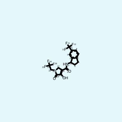 O=C(NC1CCc2ccc(C(F)(F)F)cc21)C1=C(O)C(=O)N(CC(F)(F)F)C1